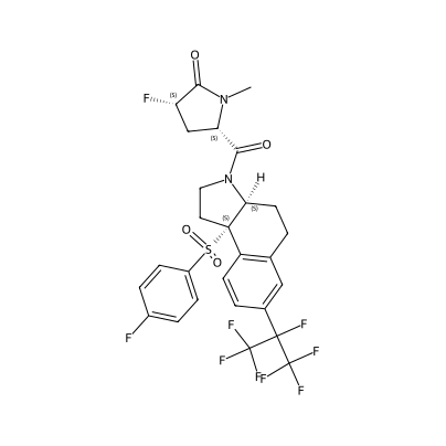 CN1C(=O)[C@@H](F)C[C@H]1C(=O)N1CC[C@]2(S(=O)(=O)c3ccc(F)cc3)c3ccc(C(F)(C(F)(F)F)C(F)(F)F)cc3CC[C@H]12